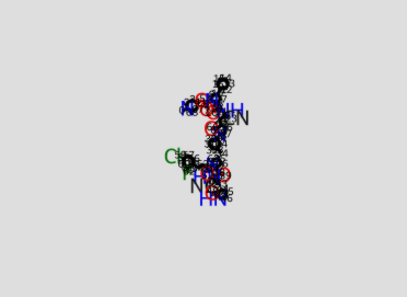 CN1CCC(OC(=O)N2CC(c3ccccc3)CC2C(=O)NC(C#N)CC2CCN(c3cccc(C[C@@H]4C[C@@H](C(=O)N[C@H](C#N)C[C@@H]5CCNC5=O)N(C(=O)/C=C/c5ccc(Cl)cc5F)C4)c3)C2=O)CC1